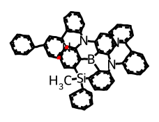 C[Si]1(c2ccccc2)c2cccc3c2B2c4c(cccc4N(c4ccccc4-c4cc(-c5ccccc5)ccn4)c4cccc1c42)N3c1ccccc1-c1ccccn1